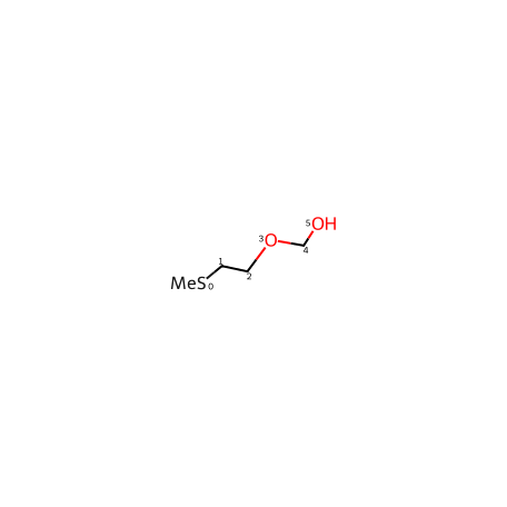 CSCCOCO